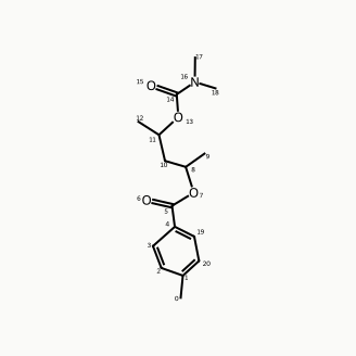 Cc1ccc(C(=O)OC(C)CC(C)OC(=O)N(C)C)cc1